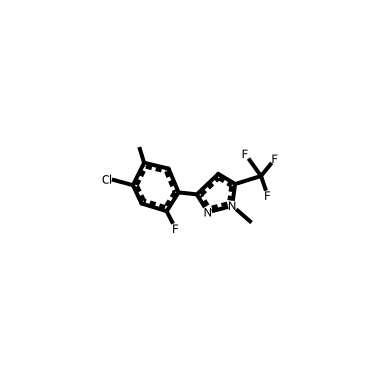 Cc1cc(-c2cc(C(F)(F)F)n(C)n2)c(F)cc1Cl